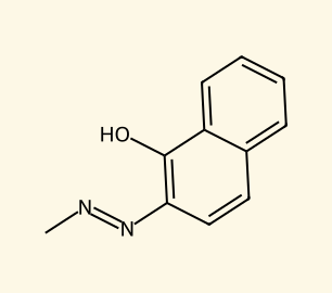 CN=Nc1ccc2ccccc2c1O